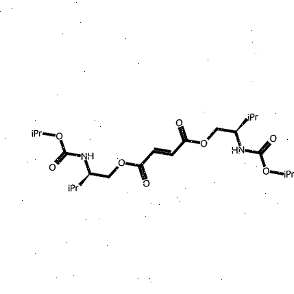 CC(C)OC(=O)N[C@@H](COC(=O)/C=C/C(=O)OC[C@H](NC(=O)OC(C)C)C(C)C)C(C)C